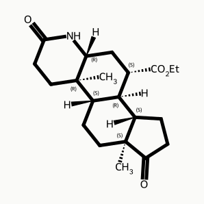 CCOC(=O)[C@H]1C[C@H]2NC(=O)CC[C@]2(C)[C@H]2CC[C@]3(C)C(=O)CC[C@H]3[C@H]12